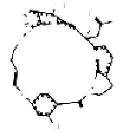 Cc1cc2ccc1C(=O)N1CCc3ccc(cc3C1)[C@@H](CC(=O)O)c1ccc3c(nnn3CCC/C=C/C2)c1C